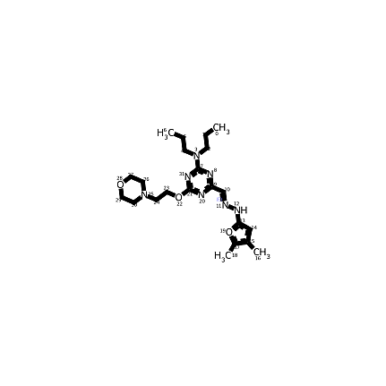 CCCN(CCC)c1nc(/C=N/Nc2cc(C)c(C)o2)nc(OCCN2CCOCC2)n1